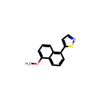 COc1cccc2c(-c3ccns3)cccc12